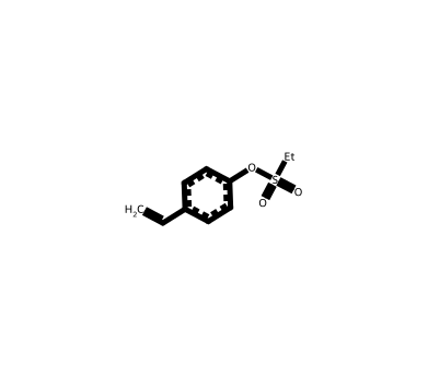 C=Cc1ccc(OS(=O)(=O)CC)cc1